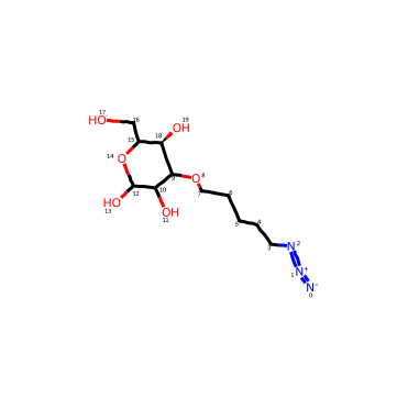 [N-]=[N+]=NCCCCCOC1C(O)C(O)OC(CO)[C@H]1O